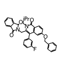 CC(C)Cn1c(CN2C(=O)c3ccccc3C2=O)c(-c2cccc(F)c2)c2cc(OCc3ccccc3)ccc2c1=O